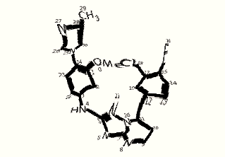 COc1cc(Nc2nc3nccc(-c4ccc(F)c(Cl)c4)n3n2)ccc1-n1cnc(C)c1